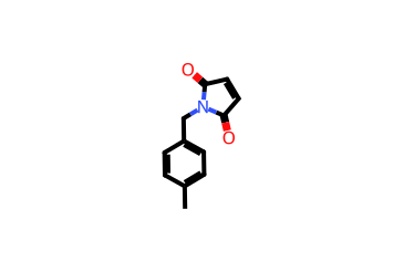 Cc1ccc(CN2C(=O)C=CC2=O)cc1